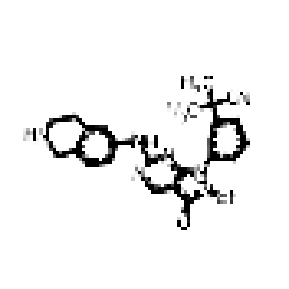 CCn1c(=O)c2cnc(Nc3ccc4c(c3)CCNC4)nc2n1-c1cccc(C(C)(C)C#N)c1